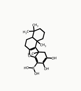 CC12CC(O)=C(O)C(B(O)O)=C1OC1=C2C2(C)CCCC(C)(C)C2CC1